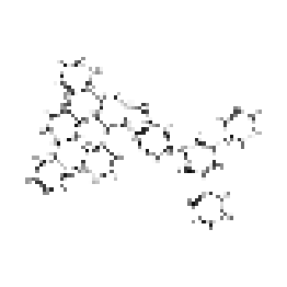 c1ccc(-c2nc(-c3ccccc3)nc(-c3ccc4c(c3)oc3cc(-c5ccccc5-c5ccc6c7ccccc7c7ccccc7c6c5)ccc34)n2)cc1